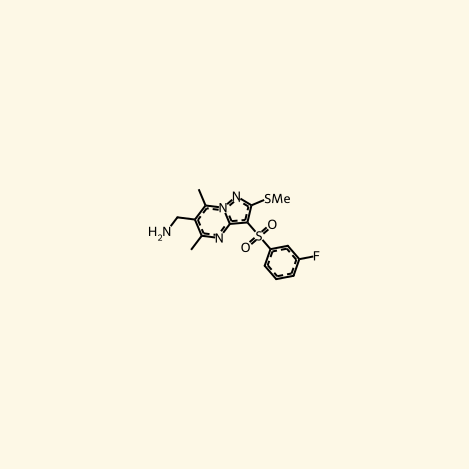 CSc1nn2c(C)c(CN)c(C)nc2c1S(=O)(=O)c1cccc(F)c1